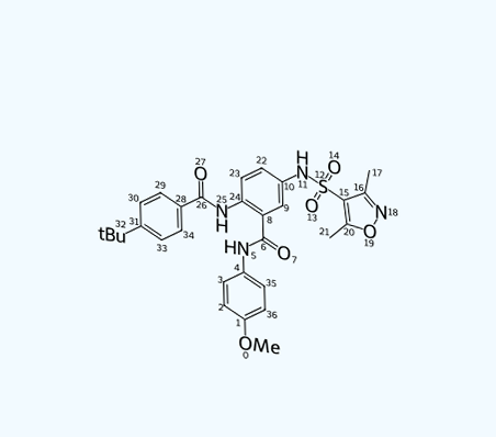 COc1ccc(NC(=O)c2cc(NS(=O)(=O)c3c(C)noc3C)ccc2NC(=O)c2ccc(C(C)(C)C)cc2)cc1